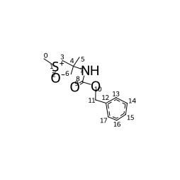 C[S+]([O-])CC(C)(C)NC(=O)OCc1ccccc1